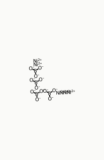 [Ni+2].[Ni+2].[Ni+2].[Ni+2].[Ni+2].[Ni+2].[O-]B([O-])[O-].[O-]B([O-])[O-].[O-]B([O-])[O-].[O-]B([O-])[O-]